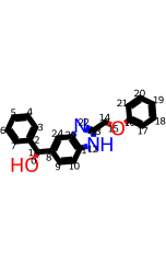 OC(c1ccccc1)c1ccc2[nH]c(COc3ccccc3)nc2c1